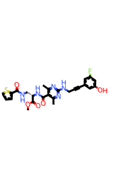 COC(=O)[C@H](CNC(=O)c1cccs1)NC(=O)c1c(C)nc(NCC#Cc2cc(O)cc(F)c2)nc1C